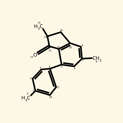 Cc1ccc(-c2cc(C)cc3c2C(=O)C(C)C3)cc1